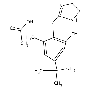 CC(=O)O.Cc1cc(C(C)(C)C)cc(C)c1CC1=NCCN1